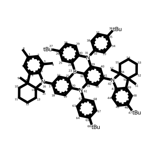 Cc1cc(C)c2c(c1)C1(C)CCCCC1(C)N2c1ccc2c(c1)B1c3cc(C(C)(C)C)ccc3N(c3ccc(C(C)(C)C)cc3)c3cc(N4c5ccc(C(C)(C)C)cc5C5(C)CCCCC45C)cc(c31)N2c1ccc(C(C)(C)C)cc1